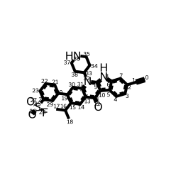 C#Cc1ccc2c(c1)[nH]c1c2c(=O)c2cc(C(C)C)c(-c3cccc(S(=O)(=O)F)c3)cc2n1C1CCNCC1